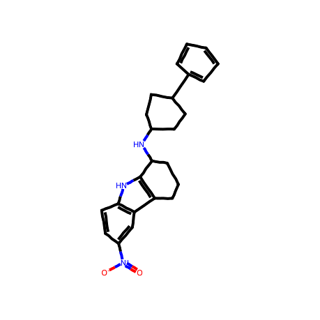 O=[N+]([O-])c1ccc2[nH]c3c(c2c1)CCCC3NC1CCC(c2ccccc2)CC1